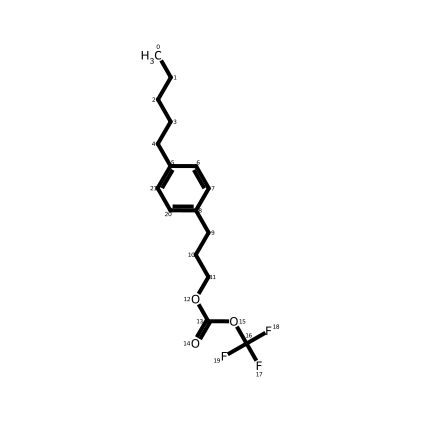 CCCCCc1ccc(CCCOC(=O)OC(F)(F)F)cc1